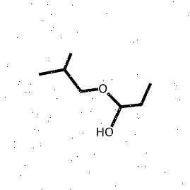 CCC(O)OCC(C)C